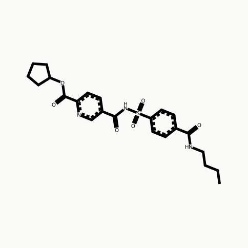 CCCCNC(=O)c1ccc(S(=O)(=O)NC(=O)c2ccc(C(=O)OC3CCCC3)nc2)cc1